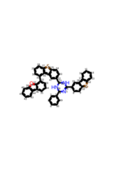 c1ccc(C2N=C(c3ccc4sc5ccccc5c4c3)NC(c3ccc4sc5cccc(-c6cccc7c6oc6ccccc67)c5c4c3)N2)cc1